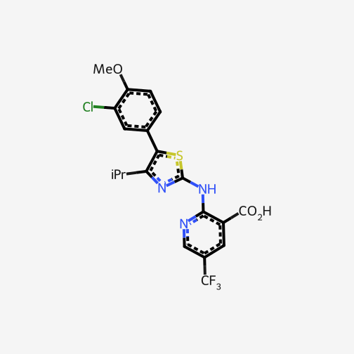 COc1ccc(-c2sc(Nc3ncc(C(F)(F)F)cc3C(=O)O)nc2C(C)C)cc1Cl